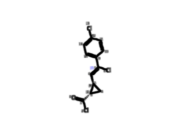 O=C(Cl)[C@H]1C[C@@H]1/C=C(\Cl)c1ccc(Cl)cc1